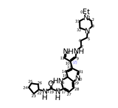 CCN1CCN(CCCN/C=C(\C=N)C2=CC3NC(NC(=O)NC4CCCC4)=CC=C3N=C2)CC1